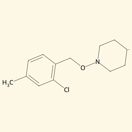 Cc1ccc(CON2CC[CH]CC2)c(Cl)c1